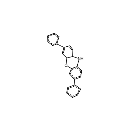 C1=CC2Nc3ccc(-c4ccccc4)cc3OC2C=C1c1ccccc1